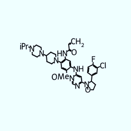 C=CC(=O)Nc1cc(Nc2cc(N3OCCC3c3ccc(F)c(Cl)c3)ncn2)c(OC)cc1N1CCC(N2CCN(C(C)C)CC2)CC1